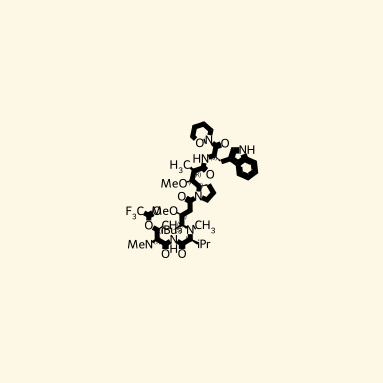 CC[C@H](C)[C@@H]([C@@H](CC(=O)N1CCC[C@H]1[C@H](OC)[C@@H](C)C(=O)N[C@@H](Cc1c[nH]c2ccccc12)C(=O)N1CCCCO1)OC)N(C)[C@H](C(=O)NC(=O)[C@@H](NC)[C@@H](C)OC(=O)C(F)(F)F)C(C)C